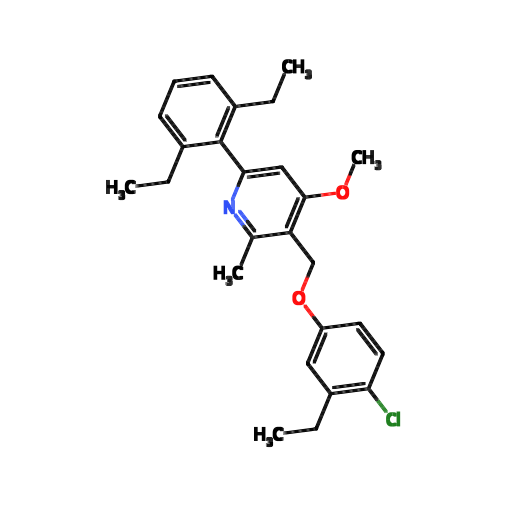 CCc1cc(OCc2c(OC)cc(-c3c(CC)cccc3CC)nc2C)ccc1Cl